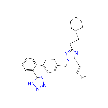 CCC=Cc1nc(CCC2CCCCC2)nn1Cc1ccc(-c2ccccc2-c2nnn[nH]2)cc1